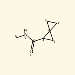 CNC(=O)C1CC12CC2